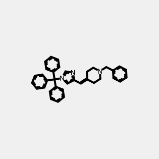 C(=C1CCN(Cc2ccccc2)CC1)c1cn(C(c2ccccc2)(c2ccccc2)c2ccccc2)cn1